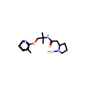 Cc1cccnc1OCC(C)(C)NC(=O)CC1CCCN1C(=O)O